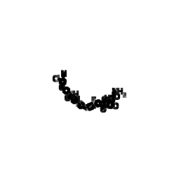 N#Cc1ccc(OC2CCC(NC(=O)c3ccc(N4CCC(CN5CCN(c6cc7c(cc6F)C(=O)N(C6CCC(=O)N(CNC(=O)CN)C6=O)C7=O)CC5)CC4)nn3)CC2)cc1Cl